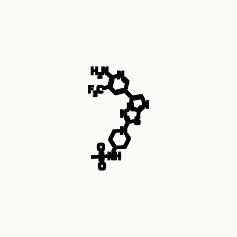 CS(=O)(=O)NC1CCN(c2nn3c(-c4cnc(N)c(C(F)(F)F)c4)cnc3s2)CC1